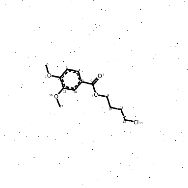 COc1ccc(C(=O)OCCCCCl)cc1OC